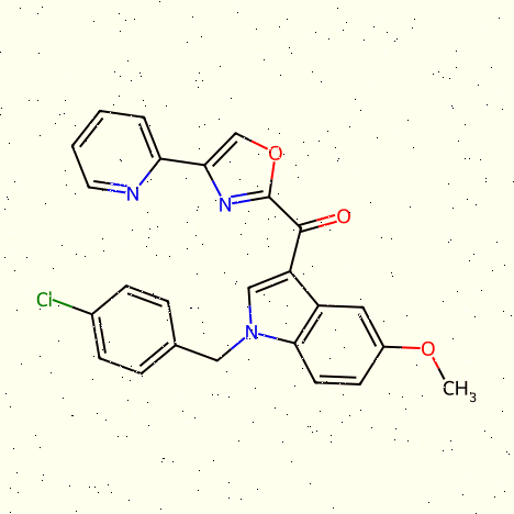 COc1ccc2c(c1)c(C(=O)c1nc(-c3ccccn3)co1)cn2Cc1ccc(Cl)cc1